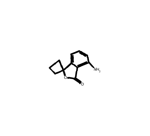 Nc1cccc2c1C(=O)OC21CCC1